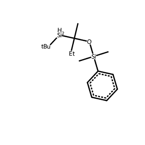 CCC(C)(O[Si](C)(C)c1ccccc1)[SiH2]C(C)(C)C